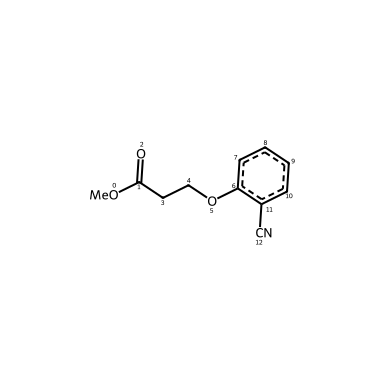 COC(=O)CCOc1ccccc1C#N